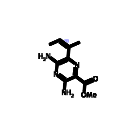 C/C=C(/C)c1nc(C(=O)OC)c(N)nc1N